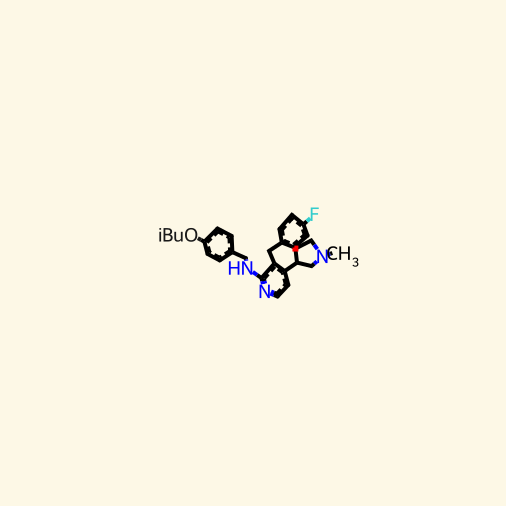 CC(C)COc1ccc(CNc2nccc(C3CCN(C)C3)c2Cc2ccc(F)cc2)cc1